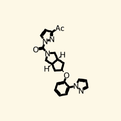 CC(=O)c1ccn(C(=O)N2C[C@H]3C[C@H](Oc4ccccc4-n4cccn4)C[C@H]3C2)n1